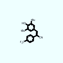 CC(C)(C)c1cc(/C=C(/C#N)c2ccc(C(F)(F)F)cc2)cc(C(C)(C)C)c1O